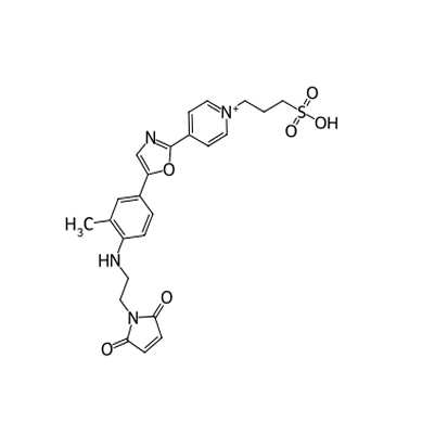 Cc1cc(-c2cnc(-c3cc[n+](CCCS(=O)(=O)O)cc3)o2)ccc1NCCN1C(=O)C=CC1=O